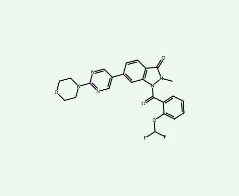 Cn1c(=O)c2ccc(-c3cnc(N4CCOCC4)nc3)cc2n1C(=O)c1ccccc1OC(F)F